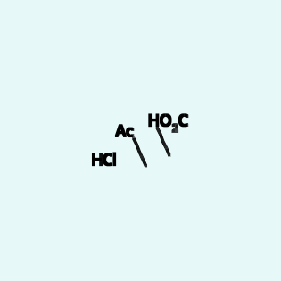 CC(=O)O.CC(C)=O.Cl